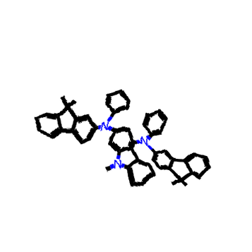 Cn1c2ccccc2c2c(N(c3ccccc3)c3ccc4c(c3)-c3ccccc3C4(C)C)cc(N(c3ccccc3)c3ccc4c(c3)C(C)(C)c3ccccc3-4)cc21